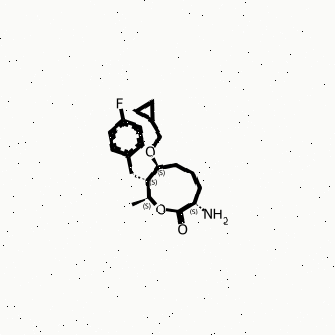 C[C@@H]1OC(=O)[C@@H](N)CCC[C@H](OCC2CC2)[C@H]1Cc1ccc(F)cc1